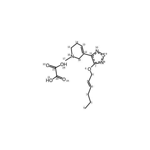 CCC/C=C/COc1nsnc1C1=CCCN(C)C1.O=C(O)C(=O)O